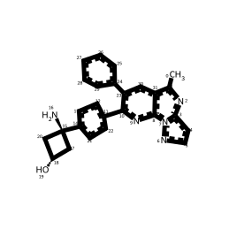 Cc1nc2ccnn2c2nc(-c3ccc([C@]4(N)C[C@H](O)C4)cc3)c(-c3ccccc3)cc12